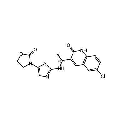 C[C@H](Nc1ncc(N2CCOC2=O)s1)c1cc2cc(Cl)ccc2[nH]c1=O